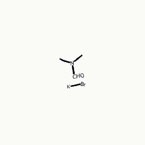 CN(C)C=O.[K][Br]